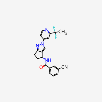 CC(F)(F)c1cc(-n2cc3c(n2)CC[C@@H]3NC(=O)c2cccc(C#N)c2)ccn1